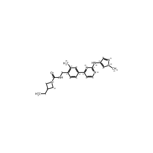 CCC1CN(C(=O)NCc2ccc(-c3ccnc(Nc4cnn(C)c4)n3)cc2C)C1